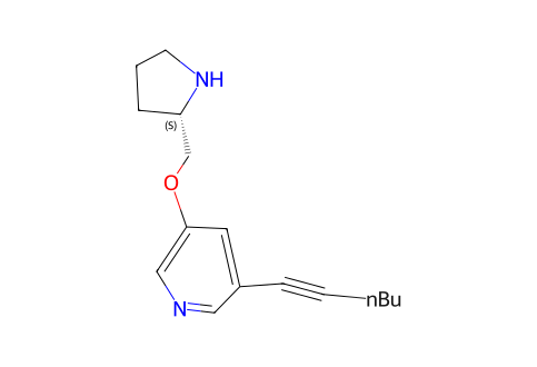 CCCCC#Cc1cncc(OC[C@@H]2CCCN2)c1